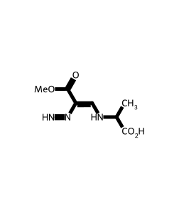 COC(=O)/C(=C/NC(C)C(=O)O)N=N